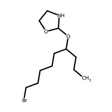 CCCC(CCCCCBr)OC1NCCO1